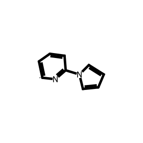 [c]1cccc(-n2cccc2)n1